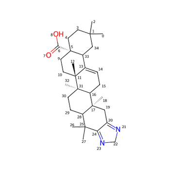 CC1(C)CC[C@]2(C(=O)O)CC[C@]3(C)C(=CCC4[C@@]5(C)CC6=NCN=C6C(C)(C)C5CC[C@]43C)C2C1